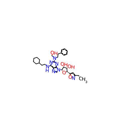 CCc1cc([C@H]2O[C@@H](n3cnc4c(NCCC5CCCCC5)nc(N(CO)CCc5ccccc5)nc43)[C@H](O)[C@@H]2O)on1